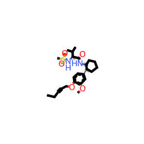 CCC#CCOc1ccc([C@H]2CCCC[C@@H]2NC(=O)[C@@H](NS(C)(=O)=O)C(C)C)cc1OC